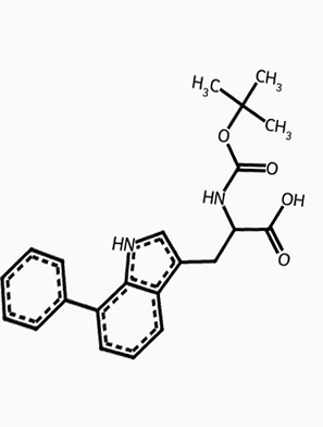 CC(C)(C)OC(=O)NC(Cc1c[nH]c2c(-c3ccccc3)cccc12)C(=O)O